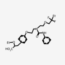 CCOC(Cc1ccc(OCCN(CCOCC(F)(F)CC)C(=O)Nc2ccccc2)cc1)C(=O)O